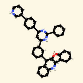 c1ccc(-c2nc(-c3ccc(-c4cccnc4)cc3)cc(-c3cccc(-c4c5ccccc5nc5c4oc4ccccc45)c3)n2)cc1